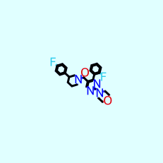 O=C(c1cnc(N2CCOCC2)nc1-c1ccccc1F)N1CCCC(c2ccc(F)cc2)C1